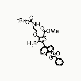 Bc1c(-c2ccnc3c2ccn3S(=O)(=O)c2ccccc2)sc(C(=O)OC)c1OCCNC(=O)OC(C)(C)C